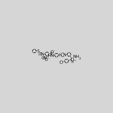 CC1C(N)C(c2cccc(N3CCN(c4ccc(N[S+]([O-])c5ccc(NCCSc6ccccc6)c([N+](=O)[O-])c5)cc4)CC3)c2)=C(c2ccc(Cl)cc2)N1C